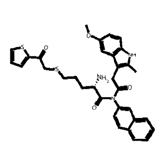 COc1ccc2[nH]c(C)c(CC(=O)N(C(=O)[C@@H](N)CCCSCC(=O)c3cccs3)c3ccc4ccccc4c3)c2c1